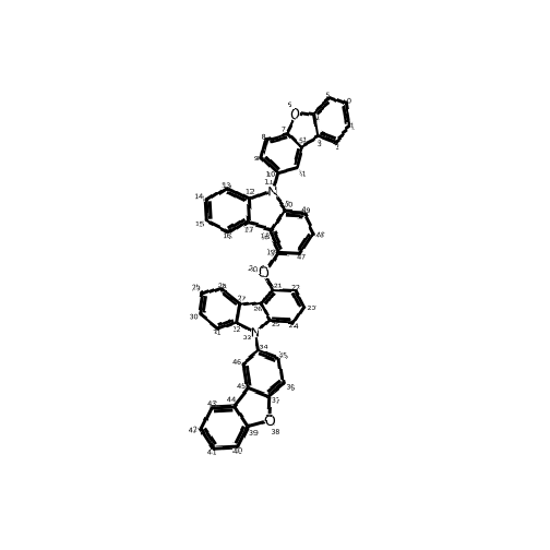 c1ccc2c(c1)oc1ccc(-n3c4ccccc4c4c(Oc5cccc6c5c5ccccc5n6-c5ccc6oc7ccccc7c6c5)cccc43)cc12